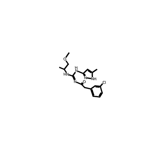 COCC(C)N/C(=N/C(=O)Cc1cccc(Cl)c1)Nc1cc(C)[nH]n1